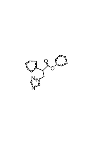 O=C(Oc1ccccc1)C(Cn1cncn1)c1ccccc1